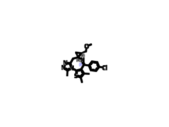 COC[C@@H]1C[C@@]12Cc1nnc(C)n1-c1sc(C)c(C)c1/C(c1ccc(Cl)cc1)=N\2